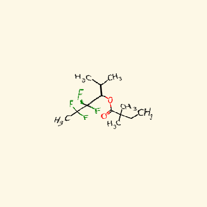 CCC(C)(C)C(=O)OC(C(C)C)C(F)(F)C(C)(F)F